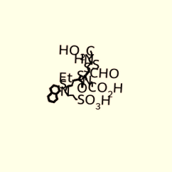 CCC(/C=C1\Sc2ccc3ccccc3c2N1CCCS(=O)(=O)O)=c1\s/c(=C(/C=O)SC(=S)NCC(=O)O)n(CC(=O)O)c1=O